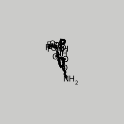 NCCCCOc1ccc2cc(C(=O)NC[C@H](NS(=O)(=O)c3ccccc3)C(=O)OC(=O)C(F)(F)F)cc(=O)n2c1